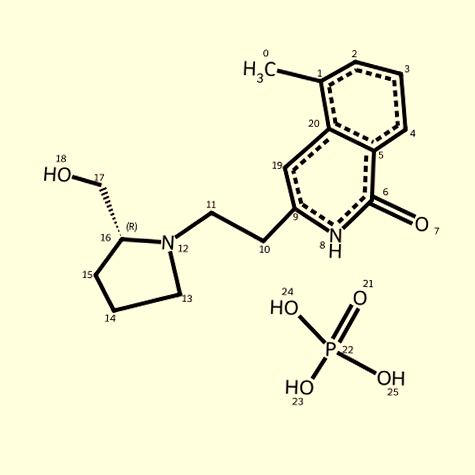 Cc1cccc2c(=O)[nH]c(CCN3CCC[C@@H]3CO)cc12.O=P(O)(O)O